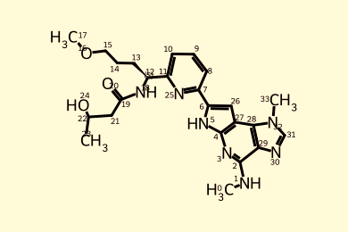 CNc1nc2[nH]c(-c3cccc([C@H](CCCOC)NC(=O)CC(C)O)n3)cc2c2c1ncn2C